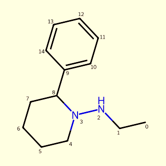 CCNN1CCCCC1c1ccccc1